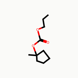 CC[CH]OC(=O)OC1(C)CCCC1